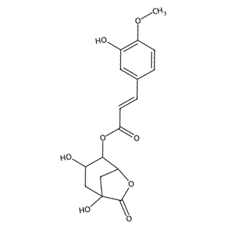 COc1ccc(/C=C/C(=O)OC2C(O)CC3(O)CC2OC3=O)cc1O